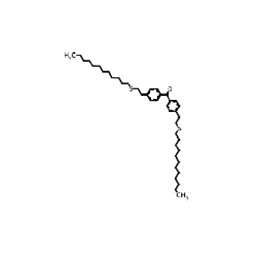 CCCCCCCCCCCCSCCc1ccc(C(=O)c2ccc(CCSCCCCCCCCCCCC)cc2)cc1